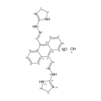 C(=NNC1=NCCN1)c1c2ccccc2c(C=NNC2=NCCN2)c2ccccc12.Cl.Cl